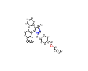 COc1cccc(-c2c(-c3ccccc3)c(C)nn2C[C@H]2CC[C@H](COCC(=O)O)CC2)c1